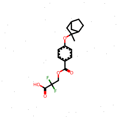 CC1(Oc2ccc(C(=O)OCC(F)(F)C(=O)O)cc2)CC2CCC1C2